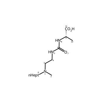 CCCCCCCN(C)CCNC(=O)N[C@@H](C)C(=O)O